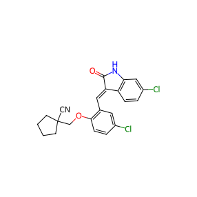 N#CC1(COc2ccc(Cl)cc2/C=C2/C(=O)Nc3cc(Cl)ccc32)CCCC1